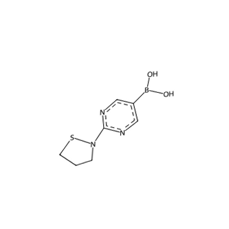 OB(O)c1cnc(N2CCCS2)nc1